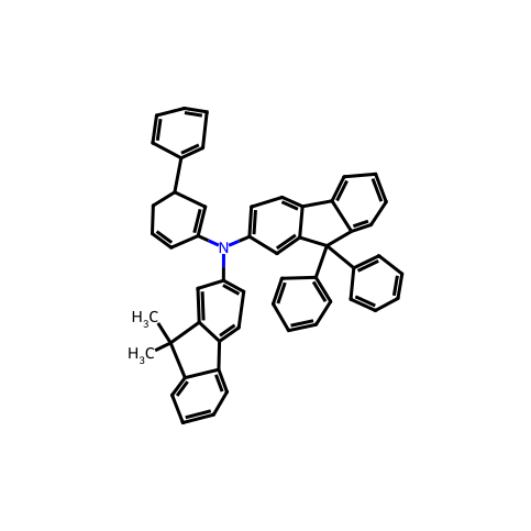 CC1(C)c2ccccc2-c2ccc(N(C3=CC(c4ccccc4)CC=C3)c3ccc4c(c3)C(c3ccccc3)(c3ccccc3)c3ccccc3-4)cc21